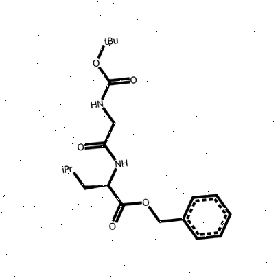 CC(C)C[C@@H](NC(=O)CNC(=O)OC(C)(C)C)C(=O)OCc1ccccc1